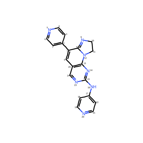 C1=C(c2ccncc2)C2=NCCN2c2nc(Nc3ccncc3)ncc21